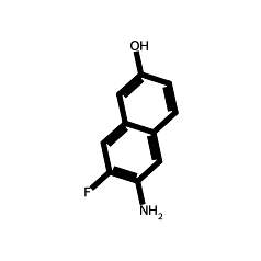 Nc1cc2ccc(O)cc2cc1F